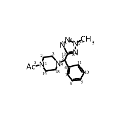 CC(=O)N1CCN(C(c2ccccc2)c2nnn(C)n2)CC1